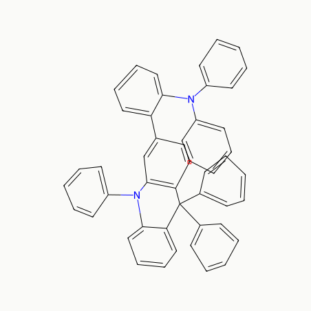 c1ccc(N(c2ccccc2)c2ccccc2-c2ccc3c(c2)N(c2ccccc2)c2ccccc2C3(c2ccccc2)c2ccccc2)cc1